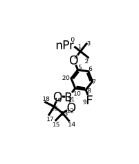 CCCC(C)(C)Oc1ccc(F)c(B2OC(C)(C)C(C)(C)O2)c1